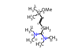 CO[Si](C)(C)C=C[SiH2]C(N(C)C)N(C)C